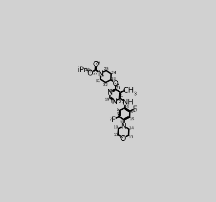 Cc1c(Nc2cc(F)c(N3CCOCC3)cc2F)ncnc1OC1CCN(C(=O)OC(C)C)CC1